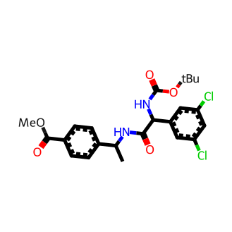 COC(=O)c1ccc(C(C)NC(=O)C(NC(=O)OC(C)(C)C)c2cc(Cl)cc(Cl)c2)cc1